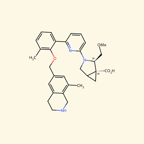 COC[C@@H]1N(c2cccc(-c3cccc(C)c3OCc3cc(C)c4c(c3)CCNC4)n2)CC2C[C@@]21C(=O)O